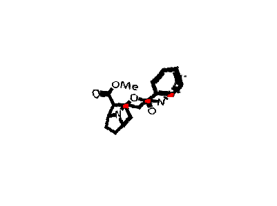 COC(=O)C1C(OC(=O)c2ccccc2)CC2CCC1N2CCCN=[N+]=[N-]